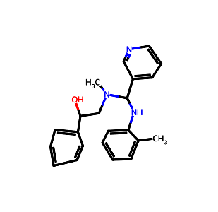 Cc1ccccc1NC(c1cccnc1)N(C)CC(O)c1ccccc1